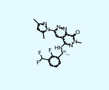 Cc1cc(C)n(-c2cc3c(N[C@H](C)c4cccc(C(F)F)c4F)nn(C)c(=O)c3nn2)n1